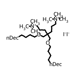 CCCCCCCCCCCCCCOCC(CCC[N+](C)(C)C)(CCC[N+](C)(C)C)COCCCCCCCCCCCCCC.[I-].[I-]